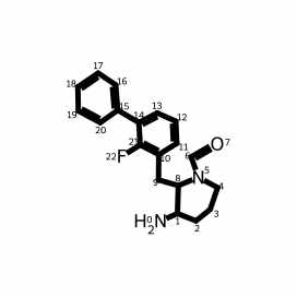 NC1CCCN(C=O)C1Cc1cccc(-c2ccccc2)c1F